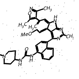 C=C(/C=c1/[nH]c2nc(C)nc(-c3ccc(NC(=O)NC4CCN(C)CC4)c4ccccc34)c2/c1=C/COC)c1c(C)noc1C